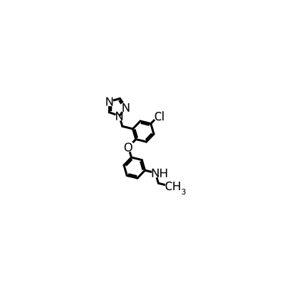 CCNc1cccc(Oc2ccc(Cl)cc2Cn2cncn2)c1